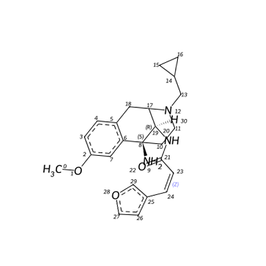 COc1ccc2c(c1)[C@@]1(N)CCN(CC3CC3)C(C2)[C@H]1NC(=O)/C=C\c1ccoc1